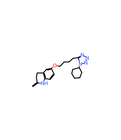 C=C1CCc2cc(OCCCCc3nnnn3C3CCCCC3)ccc2N1